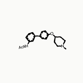 CC(=O)Nc1cccc(-c2ccc(OC3CCN(C)CC3)cc2)c1